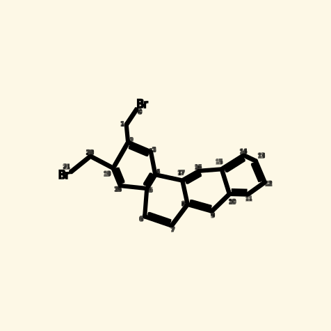 BrCc1[c]c2c(ccc3cc4ccccc4cc32)cc1CBr